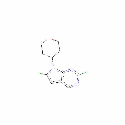 Clc1ncc2cc(Cl)n(C3CCOCC3)c2n1